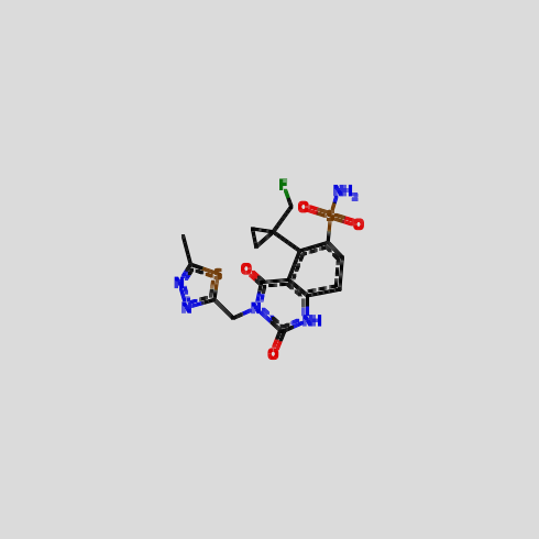 Cc1nnc(Cn2c(=O)[nH]c3ccc(S(N)(=O)=O)c(C4(CF)CC4)c3c2=O)s1